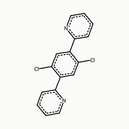 Clc1cc(-c2ccccn2)c(Cl)cc1-c1ccccn1